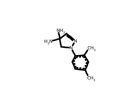 Cc1ccc(N2CC(N)(N)C=N2)c(C)c1